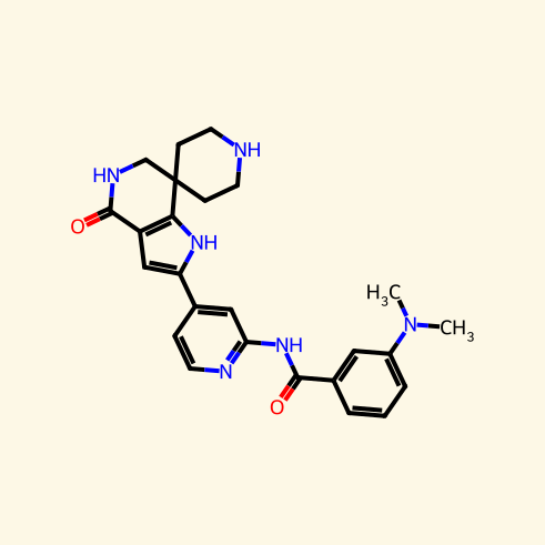 CN(C)c1cccc(C(=O)Nc2cc(-c3cc4c([nH]3)C3(CCNCC3)CNC4=O)ccn2)c1